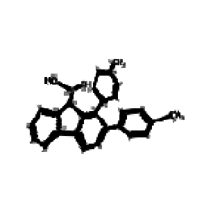 Cc1ccc(-c2ccc3c(c2-c2ccc(C)cc2)C(B(O)O)c2ccccc2-3)cc1